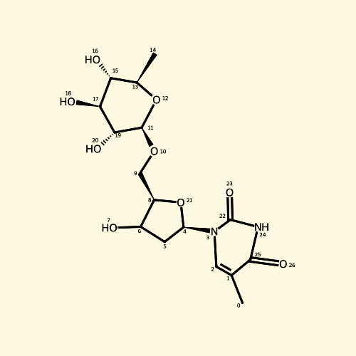 Cc1cn([C@H]2CC(O)[C@@H](CO[C@@H]3O[C@H](C)[C@@H](O)[C@H](O)[C@H]3O)O2)c(=O)[nH]c1=O